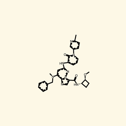 CO[C@H]1CC[C@@H]1NC(=O)c1cnc2c(N(C)Cc3ccccc3)cc(Nc3cccn(-c4ccc(C)nc4)c3=O)nn12